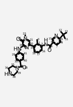 Cc1c(NC(=O)c2ccc(C(C)(C)C)nc2)cccc1-c1cn(C)c(=O)c(Nc2ccc(C(=O)N3CCNCC3)cc2)n1